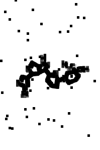 CCn1cc(-c2cc3c(-c4cccc(N5CCCC(C)(O)C5)n4)n[nH]c3cn2)cn1